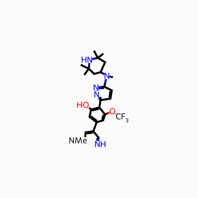 CN/C=C(\C=N)c1cc(O)c(-c2ccc(N(C)C3CC(C)(C)NC(C)(C)C3)nn2)c(OC(F)(F)F)c1